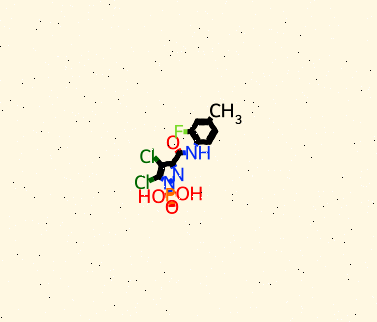 Cc1ccc(NC(=O)c2nn(P(=O)(O)O)c(Cl)c2Cl)c(F)c1